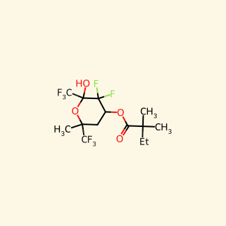 CCC(C)(C)C(=O)OC1CC(C)(C(F)(F)F)OC(O)(C(F)(F)F)C1(F)F